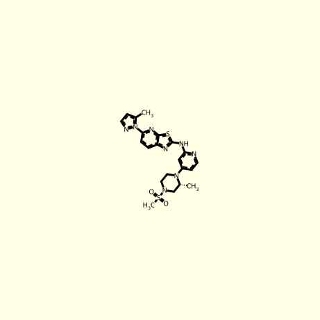 Cc1ccnn1-c1ccc2nc(Nc3cc(N4CCN(S(C)(=O)=O)C[C@H]4C)ccn3)sc2n1